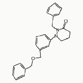 O=C1CCCN(c2cccc(COCc3ccccc3)c2)N1Cc1ccccc1